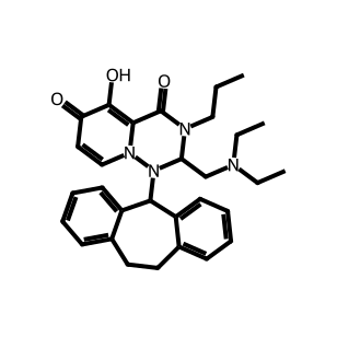 CCCN1C(=O)c2c(O)c(=O)ccn2N(C2c3ccccc3CCc3ccccc32)C1CN(CC)CC